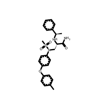 Cc1ccc(Oc2ccc(N(C[C@H](N[C@H](C)c3ccccc3)C(N)=O)S(C)(=O)=O)cc2)cc1